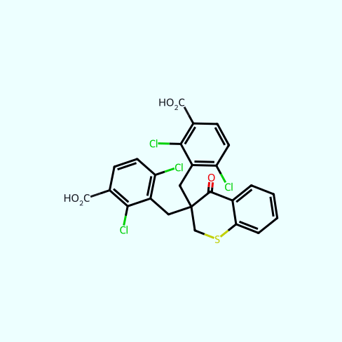 O=C(O)c1ccc(Cl)c(CC2(Cc3c(Cl)ccc(C(=O)O)c3Cl)CSc3ccccc3C2=O)c1Cl